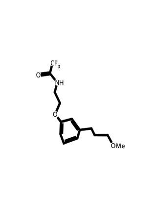 COCCCc1cccc(OCCNC(=O)C(F)(F)F)c1